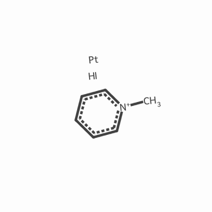 C[n+]1ccccc1.I.[Pt]